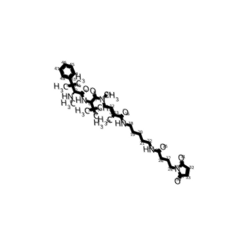 CN[C@H](C(=O)NC(C(=O)N(C)C/C=C(\C)C(=O)NCCCCCNC(=O)CCCN1C(=O)C=CC1=O)C(C)(C)C)C(C)(C)c1ccccc1